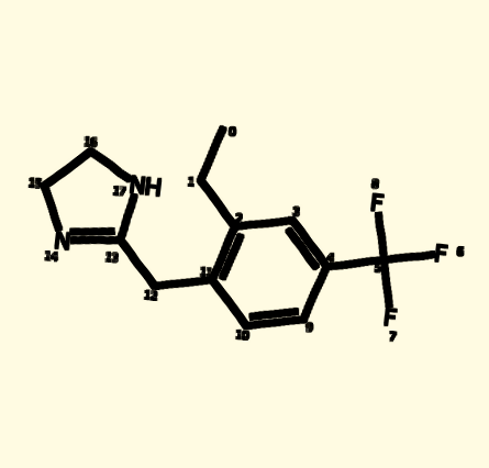 CCc1cc(C(F)(F)F)ccc1CC1=NCCN1